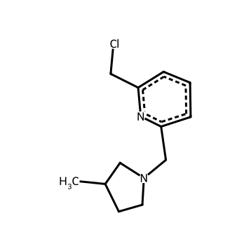 CC1CCN(Cc2cccc(CCl)n2)C1